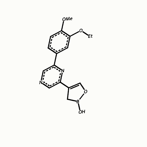 CCOc1cc(-c2cncc(C3=COB(O)C3)n2)ccc1OC